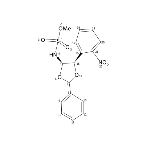 COS(=O)(=O)N[C@@H]1OC(c2ccccc2)O[C@@H]1c1ccccc1[N+](=O)[O-]